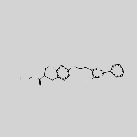 COC(=O)C1COc2cc(OCCc3nc(-c4ccccc4)oc3C)ccc2C1